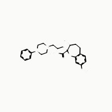 COC(=O)[C@@]1(CCCN2CCN(c3ccccc3)CC2)Oc2cc(OC)ccc2CC[C@@H]1O